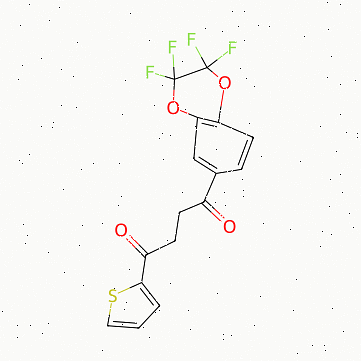 O=C(CCC(=O)c1cccs1)c1ccc2c(c1)OC(F)(F)C(F)(F)O2